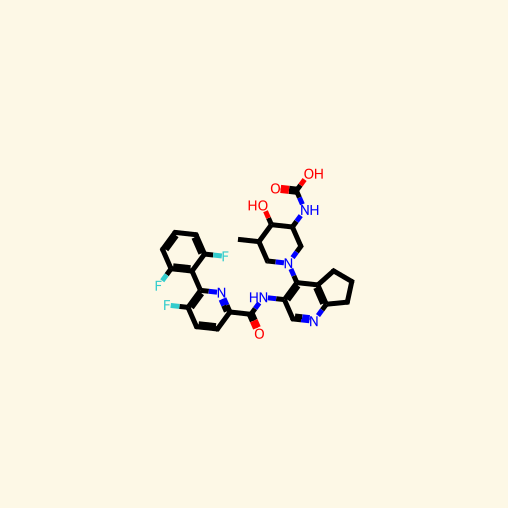 CC1CN(c2c(NC(=O)c3ccc(F)c(-c4c(F)cccc4F)n3)cnc3c2CCC3)CC(NC(=O)O)C1O